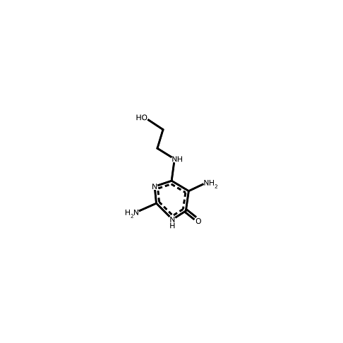 Nc1nc(NCCO)c(N)c(=O)[nH]1